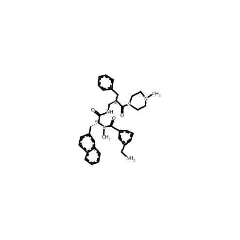 CN1CCN(C(=O)[C@@H](CNC(=O)[C@@H](Cc2ccc3ccccc3c2)N(C)C(=O)c2cccc(CN)c2)Cc2ccccc2)CC1